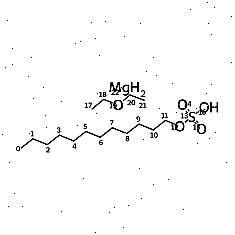 CCCCCCCCCCCCOS(=O)(=O)O.CCOCC.[MgH2]